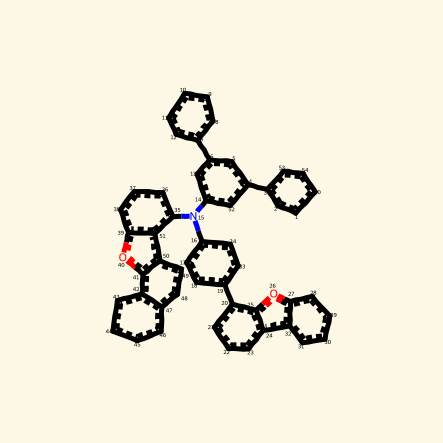 c1ccc(-c2cc(-c3ccccc3)cc(N(c3ccc(-c4cccc5c4oc4ccccc45)cc3)c3cccc4oc5c6ccccc6ccc5c34)c2)cc1